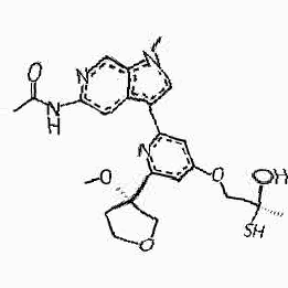 CO[C@@]1(c2cc(OC[C@@](C)(O)S)cc(-c3cn(C)c4cnc(NC(C)=O)cc34)n2)CCOC1